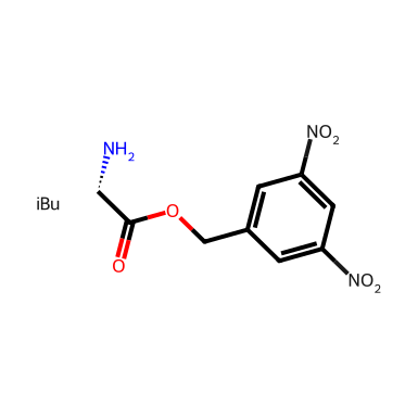 CC[C@H](C)[C@H](N)C(=O)OCc1cc([N+](=O)[O-])cc([N+](=O)[O-])c1